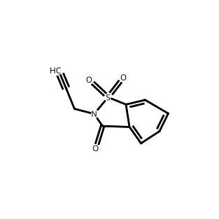 C#CCN1C(=O)c2ccccc2S1(=O)=O